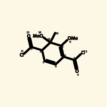 COC1=C(C(=O)Cl)C=CC(C(=O)Cl)C1(C)OC